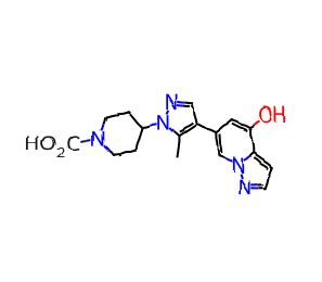 Cc1c(-c2cc(O)c3ccnn3c2)cnn1C1CCN(C(=O)O)CC1